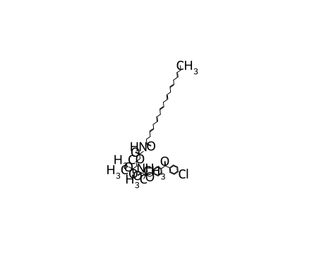 CCC=CCC=CCC=CCC=CCC=CCC=CCCC(=O)NCC(=O)OC(C)C(NC(=O)C(C)(C)Oc1ccc(C(=O)c2ccc(Cl)cc2)cc1)C(=O)OC